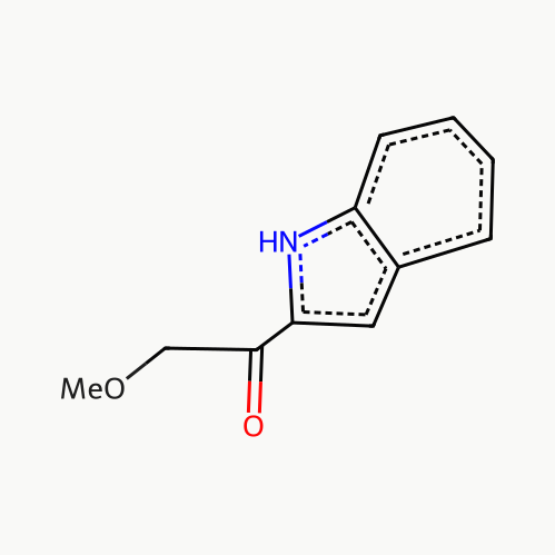 COCC(=O)c1cc2ccccc2[nH]1